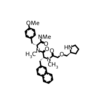 CNC(=O)[C@@H](Cc1ccc(OC)cc1)N(C)C(=O)[C@@H](Cc1ccc2ccccc2c1)N(C)C(=O)COC[C@@H]1CCCN1